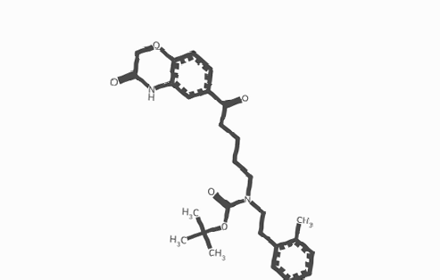 Cc1ccccc1CCN(CCCCC(=O)c1ccc2c(c1)NC(=O)CO2)C(=O)OC(C)(C)C